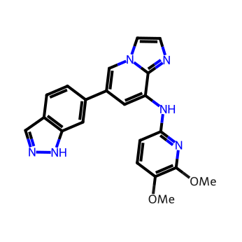 COc1ccc(Nc2cc(-c3ccc4cn[nH]c4c3)cn3ccnc23)nc1OC